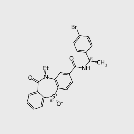 CCN1C(=O)c2ccccc2[S@@+]([O-])c2ccc(C(=O)N[C@H](C)c3ccc(Br)cc3)cc21